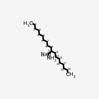 CCCCCCCCCCC(CN)CCCCCCCC.[NaH]